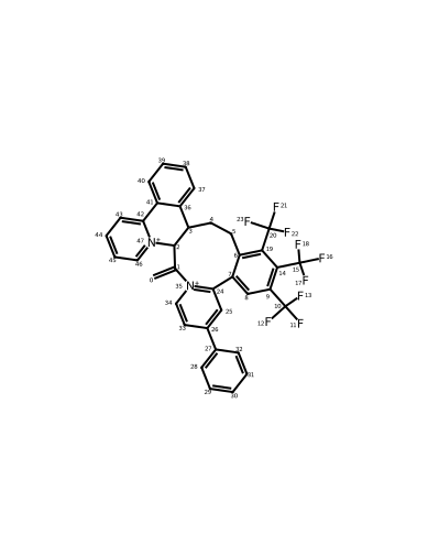 C=C1C2C(CCc3c(cc(C(F)(F)F)c(C(F)(F)F)c3C(F)(F)F)-c3cc(-c4ccccc4)cc[n+]31)c1ccccc1-c1cccc[n+]12